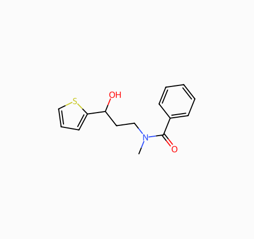 CN(CCC(O)c1cccs1)C(=O)c1ccccc1